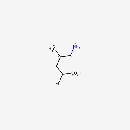 CCC(CC(C)CN)C(=O)O